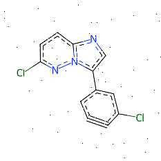 Clc1c#ccc(-c2cnc3ccc(Cl)nn23)c1